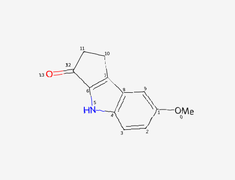 COc1ccc2[nH]c3c(c2c1)CCC3=O